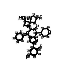 O=C(N1CC(O)C1)N(C[C@@H]1CNC[C@@H]1F)[C@@H](c1nc(-c2cc(F)ccc2F)cn1Cc1ccccc1)C1CCOCC1